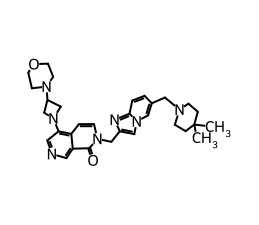 CC1(C)CCN(Cc2ccc3nc(Cn4ccc5c(N6CC(N7CCOCC7)C6)cncc5c4=O)cn3c2)CC1